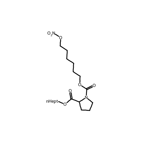 CCCCCCCOC(=O)C1CCCN1C(=O)OCCCCCCO[N+](=O)[O-]